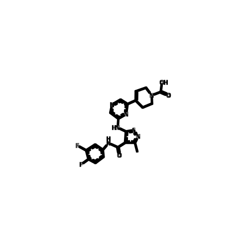 Cc1nsc(Nc2cncc(C3=CCN(C(=O)O)CC3)n2)c1C(=O)Nc1ccc(F)c(F)c1